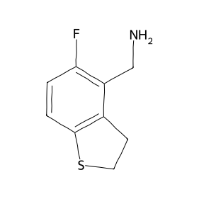 NCc1c(F)ccc2c1CCS2